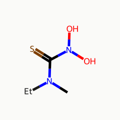 CCN(C)C(=S)N(O)O